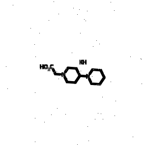 O=C(O)CN1CCC(N2CCCCC2)CC1.[KH]